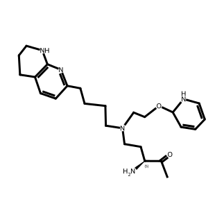 CC(=O)[C@@H](N)CCN(CCCCc1ccc2c(n1)NCCC2)CCOC1C=CC=CN1